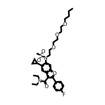 CCCCOCCOCCOCCN(c1cc2oc(-c3ccc(F)cc3)c(C(=O)N(CC)CC)c2cc1C1CC1)S(C)(=O)=O